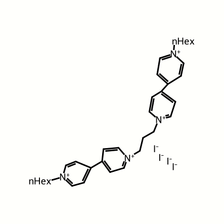 CCCCCC[n+]1ccc(-c2cc[n+](CCC[n+]3ccc(-c4cc[n+](CCCCCC)cc4)cc3)cc2)cc1.[I-].[I-].[I-].[I-]